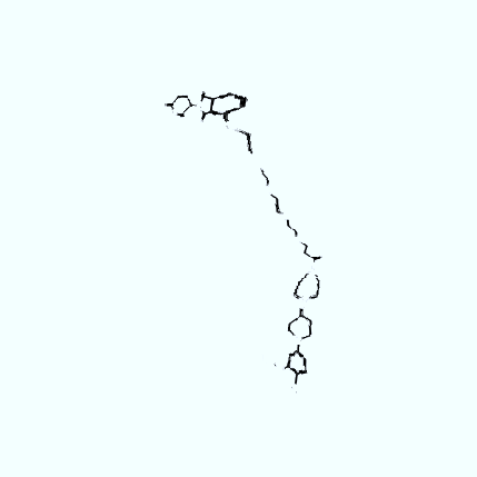 COc1cc(N2CCC(N3CCN(C(=O)CCOCCOCCOCCOCCNc4cccc5c4C(=O)N(C4CCC(=O)NC4=O)C5=O)CC3)CC2)ccc1N